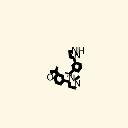 Cc1coc2ccc(C3=CC=NC(C)N3[C@@H](C)c3cccc(-c4cc[nH]n4)c3)cc12